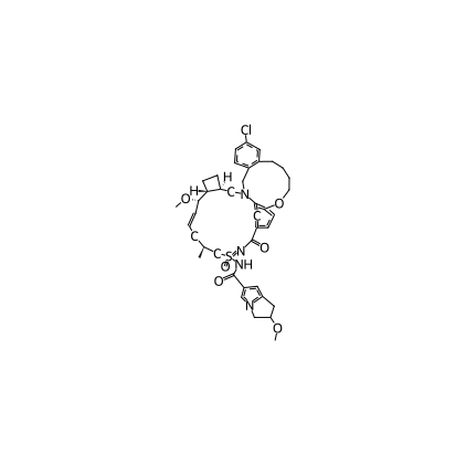 COC1Cc2cc(C(=O)NS3(=O)=NC(=O)c4ccc5c(c4)N(Cc4ccc(Cl)cc4CCCCO5)C[C@@H]4CC[C@H]4[C@@H](OC)/C=C/C[C@H](C)C3)cn2C1